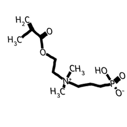 C=C(C)C(=O)OCC[N+](C)(C)CCCP(=O)([O-])O